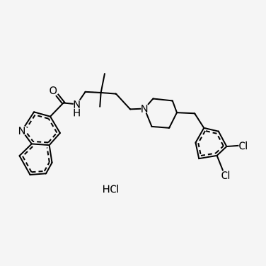 CC(C)(CCN1CCC(Cc2ccc(Cl)c(Cl)c2)CC1)CNC(=O)c1cnc2ccccc2c1.Cl